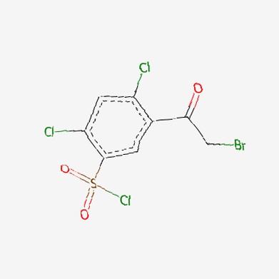 O=C(CBr)c1cc(S(=O)(=O)Cl)c(Cl)cc1Cl